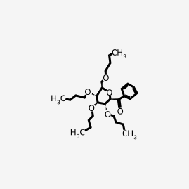 CCCCOC[C@H]1O[C@@H](C(=O)c2ccccc2)[C@H](OCCCC)[C@@H](OCCCC)[C@@H]1OCCCC